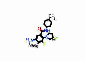 CNc1c(N)cc(C(=O)N[C@H]2CC[C@H](C(F)(F)F)CC2)c(N2CC[C@@H](F)C2)c1F